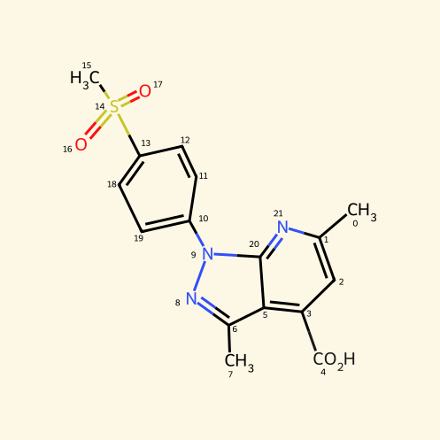 Cc1cc(C(=O)O)c2c(C)nn(-c3ccc(S(C)(=O)=O)cc3)c2n1